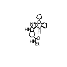 CCNC(=O)C1CCc2[nH]c3ncnc(Nc4ccccc4OC4CCCC4)c3c2C1